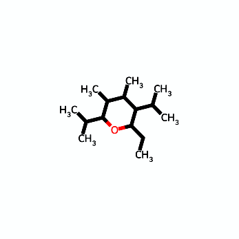 CCC1OC(C(C)C)C(C)C(C)C1C(C)C